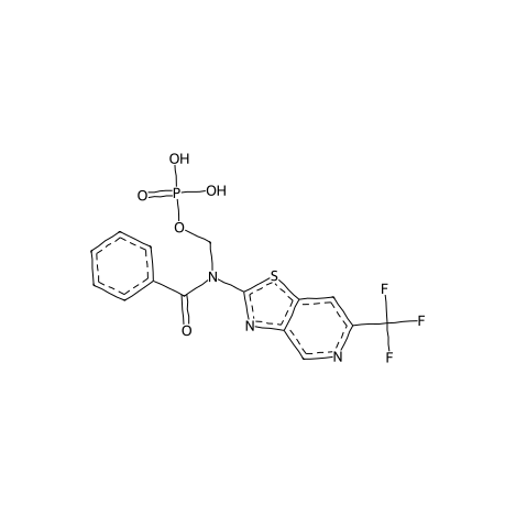 O=C(c1ccccc1)N(COP(=O)(O)O)c1nc2cnc(C(F)(F)F)cc2s1